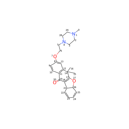 CN1CCN(CCOc2ccc3c(c2)C(C)(C)C2=C(C3=O)C3C=CC=CC3O2)CC1